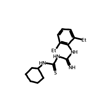 CCc1cccc(CC)c1NC(=N)NC(=S)NC1CCCCC1